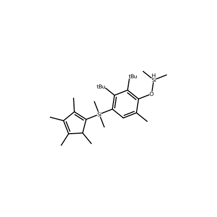 CC1=C(C)C(C)C([Si](C)(C)c2cc(C)c(O[SiH](C)C)c(C(C)(C)C)c2C(C)(C)C)=C1C